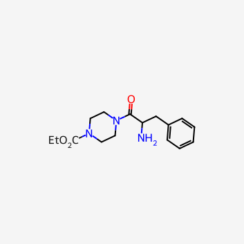 CCOC(=O)N1CCN(C(=O)C(N)Cc2ccccc2)CC1